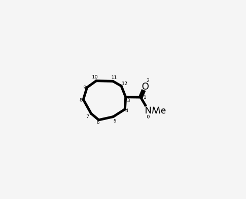 CNC(=O)C1CCCCCCCCC1